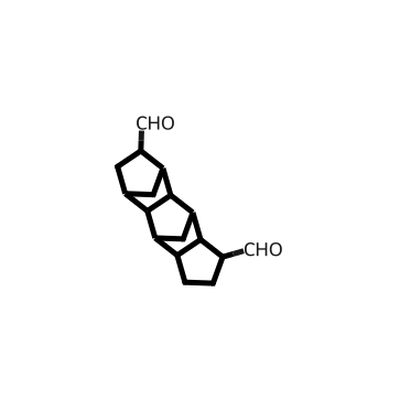 O=CC1CC2CC1C1C3CC(C4CCC(C=O)C43)C21